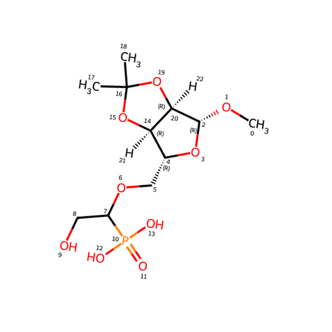 CO[C@@H]1O[C@H](COC(CO)P(=O)(O)O)[C@H]2OC(C)(C)O[C@@H]12